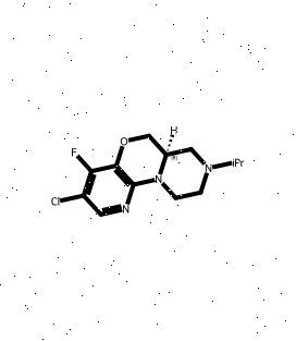 CC(C)N1CCN2c3ncc(Cl)c(F)c3OC[C@H]2C1